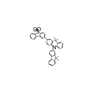 CC1(C)c2ccccc2-c2ccc(N3c4ccccc4C(C)(C)c4cc(-c5ccc6c(c5)-c5ccccc5S6(=O)=O)ccc43)cc21